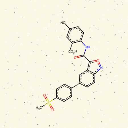 CS(=O)(=O)c1ccc(-c2ccc3noc(C(=O)Nc4ccc(C#N)cc4C(=O)O)c3c2)cc1